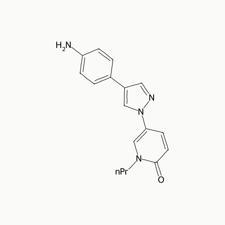 CCCn1cc(-n2cc(-c3ccc(N)cc3)cn2)ccc1=O